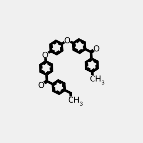 CCc1ccc(C(=O)c2ccc(Oc3ccc(Oc4ccc(C(=O)c5ccc(C)cc5)cc4)cc3)cc2)cc1